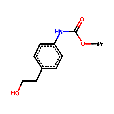 CC(C)OC(=O)Nc1ccc(CCO)cc1